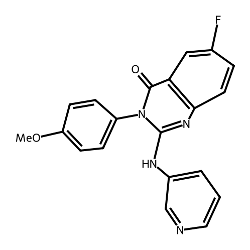 COc1ccc(-n2c(Nc3cccnc3)nc3ccc(F)cc3c2=O)cc1